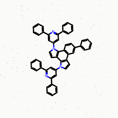 c1ccc(-c2ccc3c(c2)c2ccn(-c4cc(-c5ccccc5)nc(-c5ccccc5)c4)c2c2ccn(-c4cc(-c5ccccc5)nc(-c5ccccc5)c4)c32)cc1